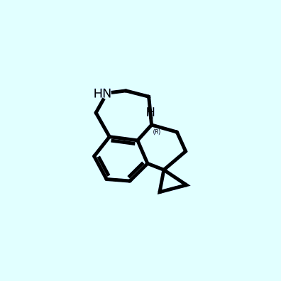 c1cc2c3c(c1)C1(CC[C@@H]3CCNC2)CC1